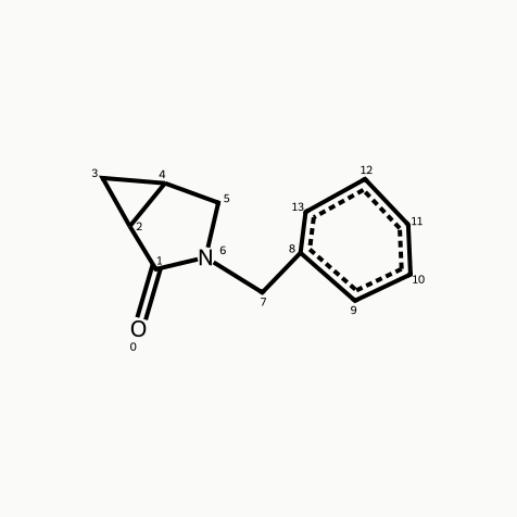 O=C1C2CC2CN1Cc1ccccc1